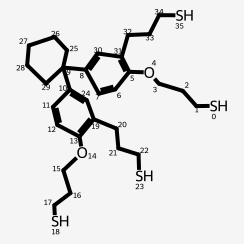 SCCCOc1ccc(C2(c3ccc(OCCCS)c(CCCS)c3)CCCCC2)cc1CCCS